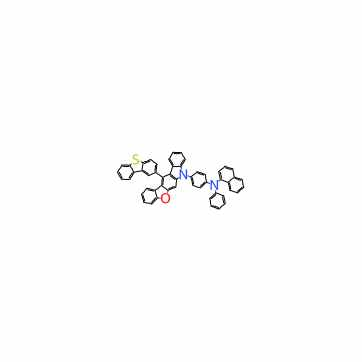 c1ccc(N(c2ccc(-n3c4ccccc4c4c(-c5ccc6sc7ccccc7c6c5)c5c(cc43)oc3ccccc35)cc2)c2cccc3ccccc23)cc1